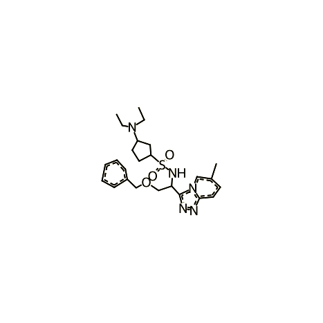 CCN(CC)C1CCC(S(=O)(=O)NC(COCc2ccccc2)c2nnc3ccc(C)cn23)C1